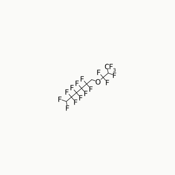 FC(C(F)(F)F)C(F)(F)OCC(F)(F)C(F)(F)C(F)(F)C(F)(F)C(F)F